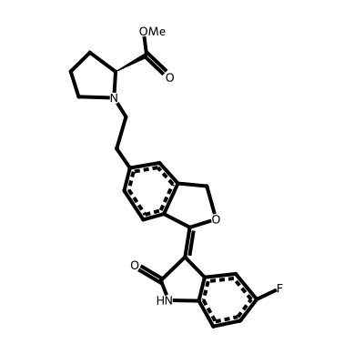 COC(=O)[C@@H]1CCCN1CCc1ccc2c(c1)CO/C2=C1/C(=O)Nc2ccc(F)cc21